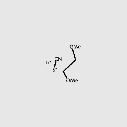 COCCOC.N#C[S-].[Li+]